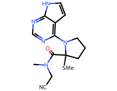 CSC1(C(=O)N(C)CC#N)CCCN1c1ncnc2[nH]ccc12